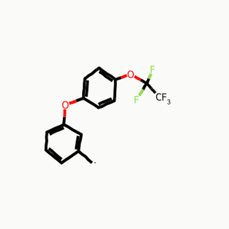 [CH2]c1cccc(Oc2ccc(OC(F)(F)C(F)(F)F)cc2)c1